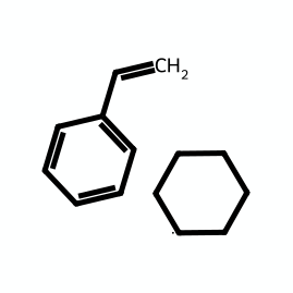 C=Cc1ccccc1.[CH]1CCCCC1